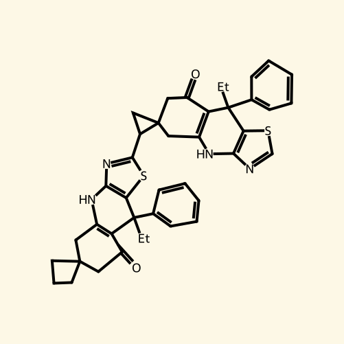 CCC1(c2ccccc2)C2=C(CC3(CC2=O)CC3c2nc3c(s2)C(CC)(c2ccccc2)C2=C(CC4(CCC4)CC2=O)N3)Nc2ncsc21